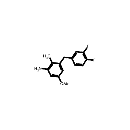 COc1cc(N)c(C)c(Cc2ccc(F)c(F)c2)c1